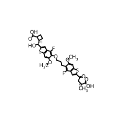 COc1cc2sc(C(=O)C[C@H](C)C(=O)O)cc2c(F)c1CCCOc1c(OC)cc2sc(C(O)[C@@H]3CCC3C(=O)O)cc2c1F